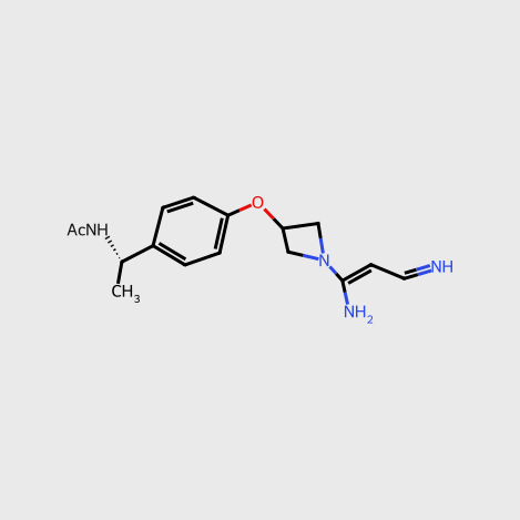 CC(=O)N[C@@H](C)c1ccc(OC2CN(/C(N)=C/C=N)C2)cc1